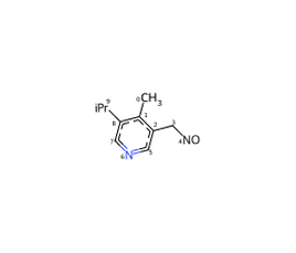 Cc1c(CN=O)cncc1C(C)C